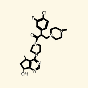 C[C@@H]1C[C@@H](O)c2ncnc(N3CCN(C(=O)C(CN4CCN(C)CC4)c4ccc(Cl)c(F)c4)CC3)c21